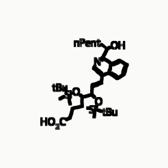 CCCCC[C@@H](O)c1ncc(C=CC(O[Si](C)(C)C(C)(C)C)C(CCCC(=O)O)O[Si](C)(C)C(C)(C)C)c2ccccc12